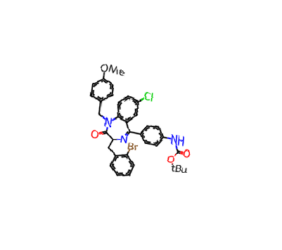 COc1ccc(CN2C(=O)C(Cc3ccccc3Br)N=C(c3ccc(NC(=O)OC(C)(C)C)cc3)c3cc(Cl)ccc32)cc1